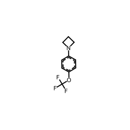 FC(F)(F)Oc1ccc(N2CCC2)cc1